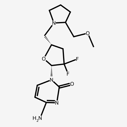 COCC1CCCN1C[C@@H]1CC(F)(F)[C@H](n2ccc(N)nc2=O)O1